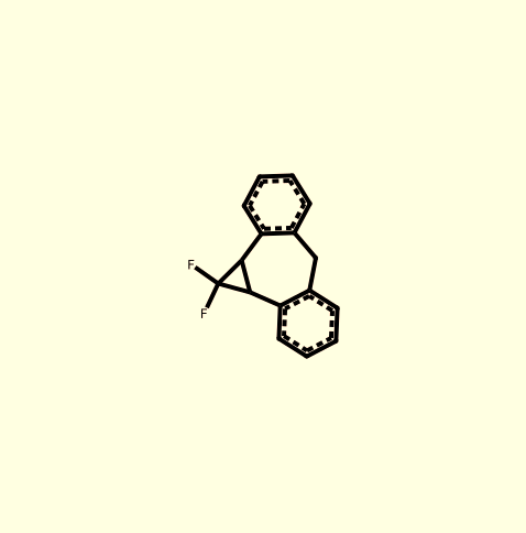 FC1(F)C2c3ccccc3Cc3ccccc3C21